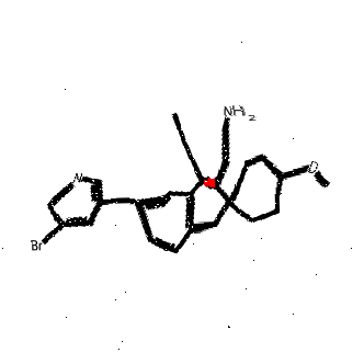 COC1CCC2(CC1)Cc1ccc(-c3cncc(Br)c3)cc1C21N=C(C)C(N)=N1